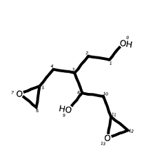 OCCC(CC1CO1)C(O)CC1CO1